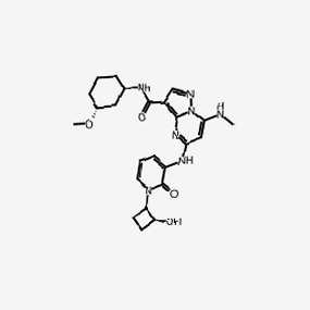 CNc1cc(Nc2cccn([C@@H]3CC[C@@H]3O)c2=O)nc2c(C(=O)N[C@@H]3CCC[C@@H](OC)C3)cnn12